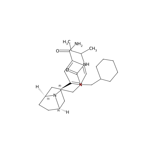 CCC(C)NC(=O)N(CCN1[C@@H]2CC[C@H]1C[C@@H](c1cccc(C(N)=O)c1)C2)CC1CCCCC1